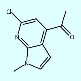 CC(=O)c1cc(Cl)nc2c1ccn2C